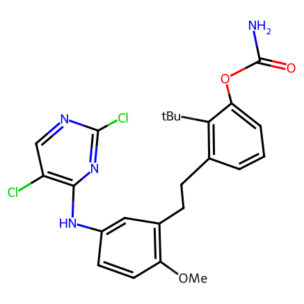 COc1ccc(Nc2nc(Cl)ncc2Cl)cc1CCc1cccc(OC(N)=O)c1C(C)(C)C